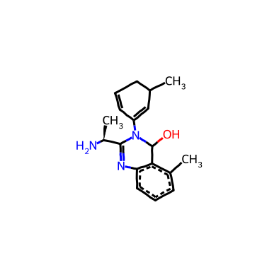 Cc1cccc2c1C(O)N(C1=CC(C)CC=C1)C([C@H](C)N)=N2